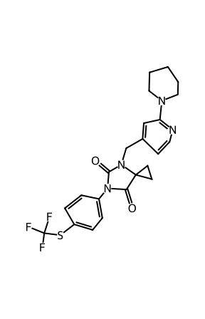 O=C1N(c2ccc(SC(F)(F)F)cc2)C(=O)C2(CC2)N1Cc1ccnc(N2CCCCC2)c1